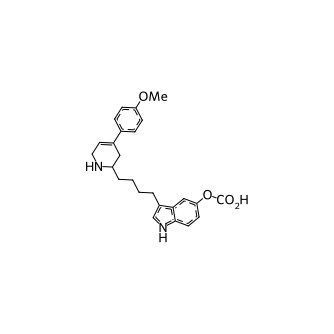 COc1ccc(C2=CCNC(CCCCc3c[nH]c4ccc(OC(=O)O)cc34)C2)cc1